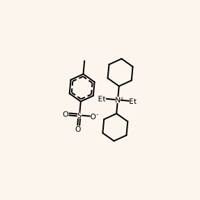 CC[N+](CC)(C1CCCCC1)C1CCCCC1.Cc1ccc(S(=O)(=O)[O-])cc1